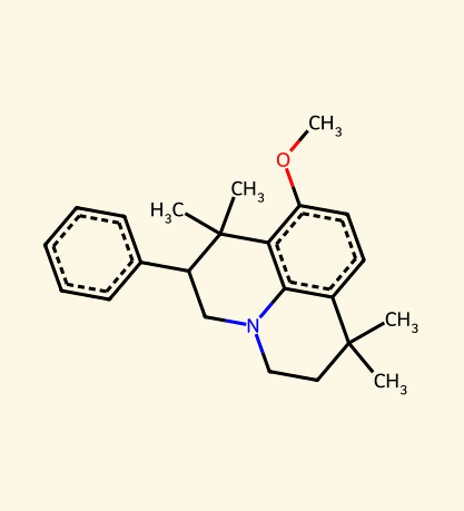 COc1ccc2c3c1C(C)(C)C(c1ccccc1)CN3CCC2(C)C